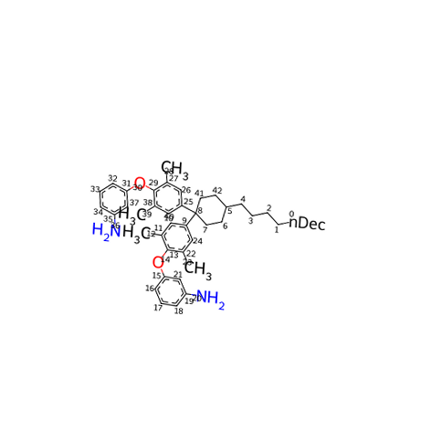 CCCCCCCCCCCCCCC1CCC(c2cc(C)c(Oc3cccc(N)c3)c(C)c2)(c2cc(C)c(Oc3cccc(N)c3)c(C)c2)CC1